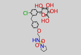 O=S(=O)(NCCOc1ccc(Cc2cc([C@@H]3O[C@H](CO)[C@@H](O)[C@H](O)[C@H]3O)ccc2Cl)cc1)N1CCCC1